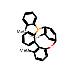 COc1ccccc1P1c2ccccc2-c2c(OC)cccc2Oc2ccc1c(S(=O)(=O)O)c2